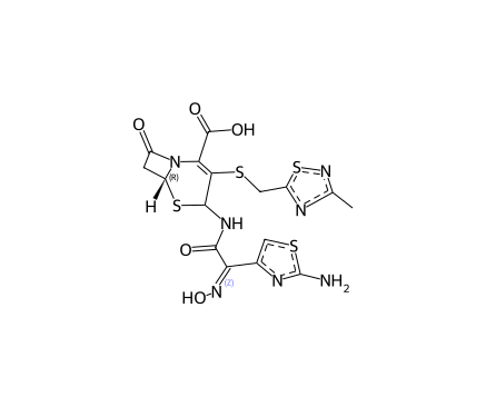 Cc1nsc(CSC2=C(C(=O)O)N3C(=O)C[C@H]3SC2NC(=O)/C(=N\O)c2csc(N)n2)n1